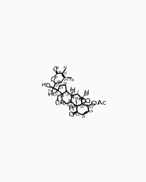 CC(=O)OC[C@]12CC[C@H]3[C@@H](C[C@H]4O[C@]45[C@@H](OC(C)=O)C=CC(=O)[C@]35C)C1CC[C@@]2(O)C(C)(O)C1CC(C)=C(C)C(=O)O1